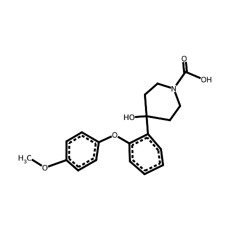 COc1ccc(Oc2ccccc2C2(O)CCN(C(=O)O)CC2)cc1